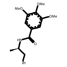 COc1cc(C(=O)N[C@H](C)CC(C)C)cc(OC)c1OC